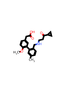 COc1ccc(CC(=O)O)cc1-c1cc(C)ccc1CNCCC(=O)C1CC1